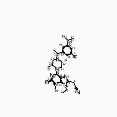 CCn1c(CC#N)nc2c(N3C[C@@H](C)N(C(C)c4cc(F)cc(C(F)F)c4)C[C@@H]3C)nc(=O)n(C)c21